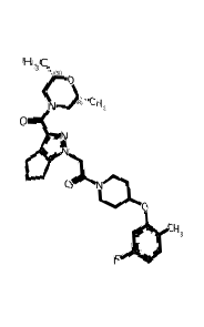 Cc1ccc(F)cc1OC1CCN(C(=O)Cn2nc(C(=O)N3C[C@@H](C)O[C@@H](C)C3)c3c2CCC3)CC1